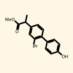 COC(=O)C(C)c1ccc(-c2ccc(O)cc2)c(C(C)C)c1